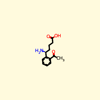 CC(=O)c1ccccc1[C@@H](N)CCCC(=O)O